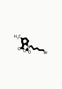 Cc1ccc2c(c1)c(=O)oc(=O)n2CCCCCBr